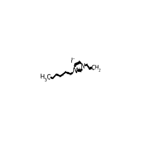 C=CCn1cc[n+](CCCCCC)c1.[I-]